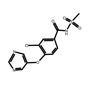 CS(=O)(=O)NC(=O)c1ccc(Oc2cncnc2)c(Cl)c1